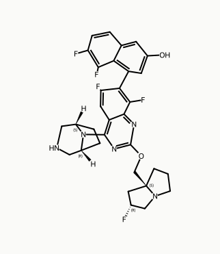 Oc1cc(-c2c(F)cc3c(N4[C@@H]5CC[C@H]4CNC5)nc(OC[C@@]45CCCN4C[C@H](F)C5)nc3c2F)c2c(F)c(F)ccc2c1